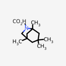 CC1(C)CC2(C)CN(C(=O)O)C(C)(C1)C2